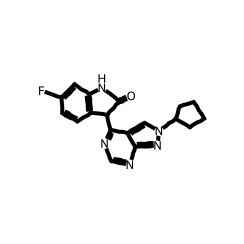 O=C1Nc2cc(F)ccc2C1c1ncnc2nn(C3CCCC3)cc12